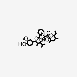 CCC1OC(O)(C(=O)C(=O)N2CCCCC2C(=O)OC(C(C)C)C(C)CC2CCC(O)C(OC)C2)C(C)CC1C